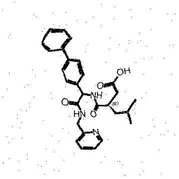 CC(C)C[C@H](CC(=O)O)C(=O)NC(C(=O)NCc1ccccn1)c1ccc(-c2ccccc2)cc1